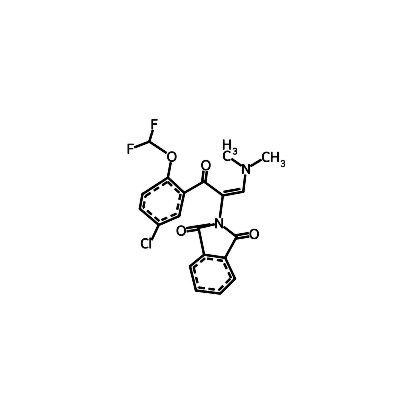 CN(C)/C=C(\C(=O)c1cc(Cl)ccc1OC(F)F)N1C(=O)c2ccccc2C1=O